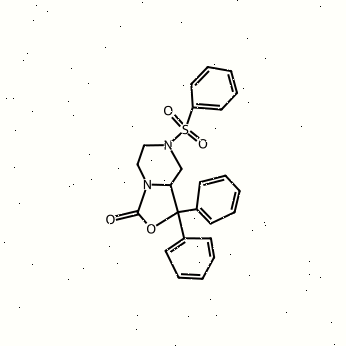 O=C1OC(c2ccccc2)(c2ccccc2)C2CN(S(=O)(=O)c3ccccc3)CCN12